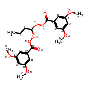 [CH2]CC[C](OOC(=O)c1cc(OC)cc(OC)c1)OOC(=O)c1cc(OC)cc(OC)c1